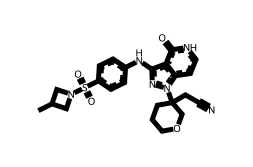 CC1CN(S(=O)(=O)c2ccc(Nc3nn(C4(CC#N)CCCOC4)c4cc[nH]c(=O)c34)cc2)C1